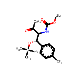 COC(=O)C(NC(=O)OC(C)(C)C)[C@@H](O[Si](C)(C)C(C)(C)C)c1ccc(C(F)(F)F)cc1